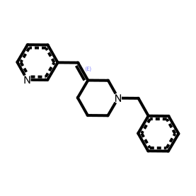 C(=C1/CCCN(Cc2ccccc2)C1)/c1cccnc1